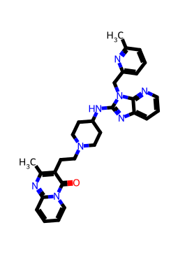 Cc1cccc(Cn2c(NC3CCN(CCc4c(C)nc5ccccn5c4=O)CC3)nc3cccnc32)n1